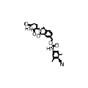 Cc1cc(NC(=O)OCc2ccc3c(c2)C(=O)N(C2CCC(=O)NC2=O)C3)cc(C)c1C#N